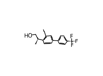 Cc1cc(-c2ccc(C(F)(F)F)cc2)ccc1[C@@H](C)CO